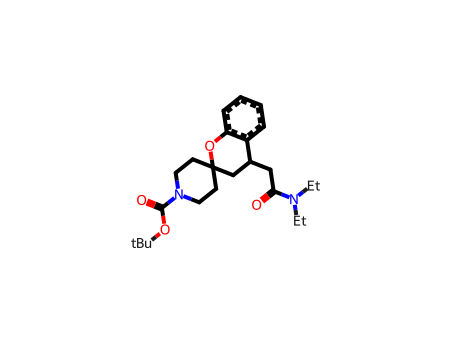 CCN(CC)C(=O)CC1CC2(CCN(C(=O)OC(C)(C)C)CC2)Oc2ccccc21